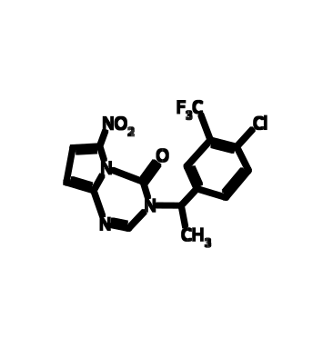 CC(c1ccc(Cl)c(C(F)(F)F)c1)n1cnc2ccc([N+](=O)[O-])n2c1=O